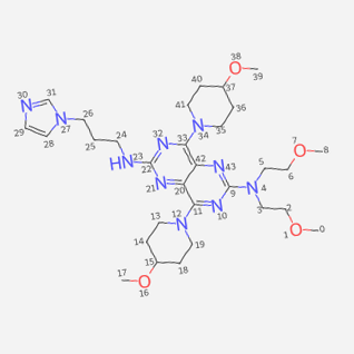 COCCN(CCOC)c1nc(N2CCC(OC)CC2)c2nc(NCCCn3ccnc3)nc(N3CCC(OC)CC3)c2n1